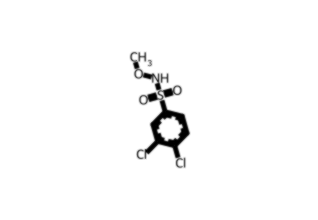 CONS(=O)(=O)c1ccc(Cl)c(Cl)c1